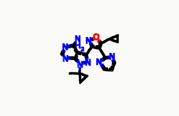 CC1(n2nc(-c3noc(C4CC4)c3-c3ncccn3)c3c(N)ncnc32)CC1